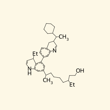 CCC(CCO)CCCCC(C)c1cc2c(c(-c3ccc4c(c3)N=CC(C(C)C3CCCCC3)C4)c1)C(CC)C=CN2